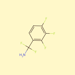 NC(F)(F)c1ccc(F)c(F)c1F